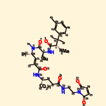 CN[C@H](C(=O)N[C@H](C(=O)N(C)[C@H](/C=C(\C)C(=O)N[C@H](CCC(=O)NCCN1C(=O)C=CC1=O)C(=O)O)C(C)C)C(C)(C)C)C(C)(C)c1cccc(C)c1